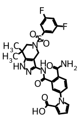 CC1(C)CN(S(=O)(=O)c2cc(F)cc(F)c2)Cc2c(NC(=O)c3cc(-n4cccc4C(=O)O)ccc3C(N)=O)n[nH]c21